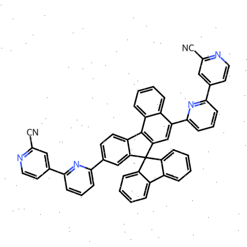 N#Cc1cc(-c2cccc(-c3ccc4c(c3)C3(c5ccccc5-c5ccccc53)c3cc(-c5cccc(-c6ccnc(C#N)c6)n5)c5ccccc5c3-4)n2)ccn1